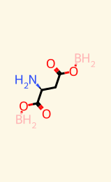 BOC(=O)C[C@H](N)C(=O)OB